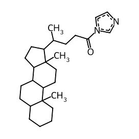 CC(CCC(=O)n1ccnc1)C1CCC2C3CCC4CCCCC4(C)C3CCC12C